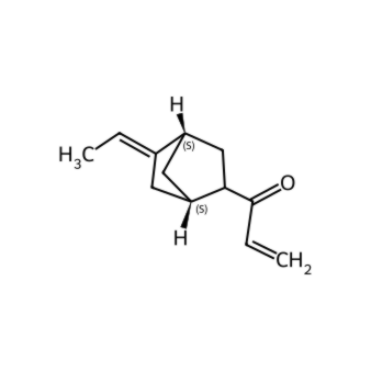 C=CC(=O)C1C[C@@H]2C[C@H]1CC2=CC